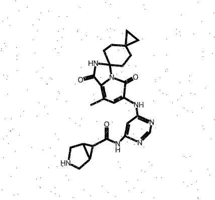 Cc1cc(Nc2cc(NC(=O)C3C4CNCC43)ncn2)c(=O)n2c1C(=O)NC21CCC2(CC2)CC1